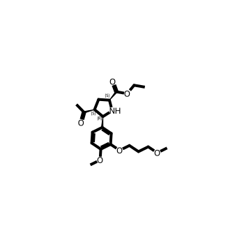 CCOC(=O)[C@@H]1C[C@H](C(C)=O)[C@H](c2ccc(OC)c(OCCCOC)c2)N1